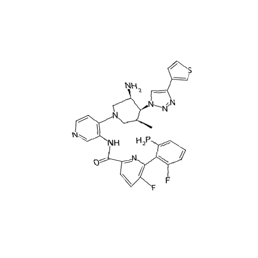 C[C@H]1CN(c2ccncc2NC(=O)c2ccc(F)c(-c3c(F)cccc3P)n2)C[C@@H](N)[C@H]1n1cc(-c2ccsc2)nn1